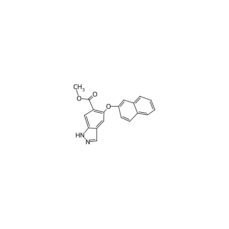 COC(=O)c1cc2[nH]ncc2cc1Oc1ccc2ccccc2c1